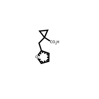 O=C(O)C1(Cc2ccco2)CC1